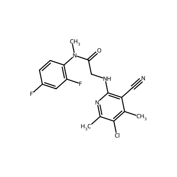 Cc1nc(NCC(=O)N(C)c2ccc(F)cc2F)c(C#N)c(C)c1Cl